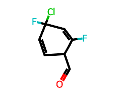 O=CC1C=CC(F)(Cl)C=C1F